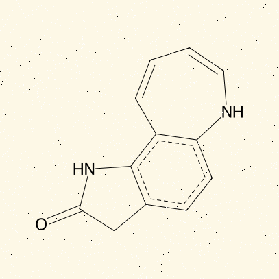 O=C1Cc2ccc3c(c2N1)C=CC=CN3